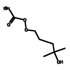 CC(C)(O)CCCOOC(=O)C(C)(C)C